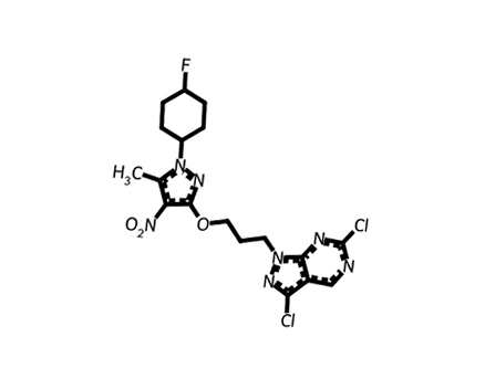 Cc1c([N+](=O)[O-])c(OCCCn2nc(Cl)c3cnc(Cl)nc32)nn1C1CCC(F)CC1